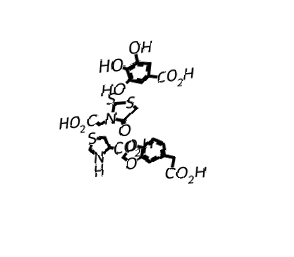 O=C(O)C1CSCN1.O=C(O)CN1C(=O)CSC1=S.O=C(O)Cc1ccc2c(c1)OCO2.O=C(O)c1cc(O)c(O)c(O)c1